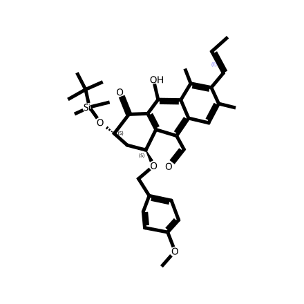 C/C=C/c1c(C)cc2c(C=O)c3c(c(O)c2c1C)C(=O)[C@@H](O[Si](C)(C)C(C)(C)C)C[C@@H]3OCc1ccc(OC)cc1